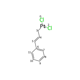 [Cl][Pt]([Cl])[CH2]/C=C/c1ccccc1